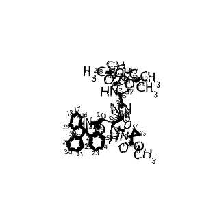 COC(=O)C1(NC(=O)N[C@@H](CC(=O)NC(c2ccccc2)(c2ccccc2)c2ccccc2)c2nc([C@H](COC(C)(C)C)NC(=O)OC(C)(C)C)no2)CC1